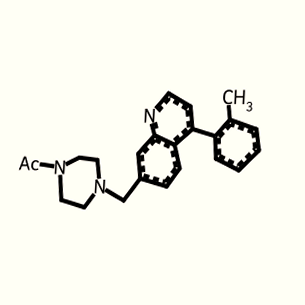 CC(=O)N1CCN(Cc2ccc3c(-c4ccccc4C)ccnc3c2)CC1